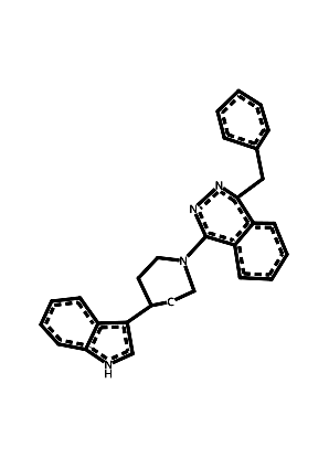 c1ccc(Cc2nnc(N3CCC(c4c[nH]c5ccccc45)CC3)c3ccccc23)cc1